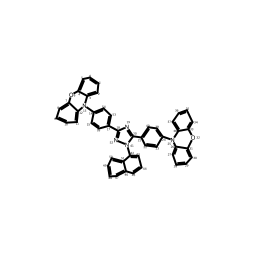 c1ccc2c(c1)Oc1ccccc1N2c1ccc(-c2nc(-c3ccc(N4c5ccccc5Oc5ccccc54)cc3)n(-c3cccc4ccccc34)n2)cc1